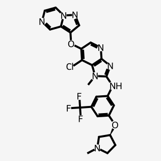 CN1CC[C@H](Oc2cc(Nc3nc4ncc(Oc5cnn6ccncc56)c(Cl)c4n3C)cc(C(F)(F)F)c2)C1